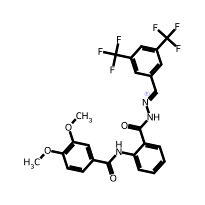 COc1ccc(C(=O)Nc2ccccc2C(=O)N/N=C/c2cc(C(F)(F)F)cc(C(F)(F)F)c2)cc1OC